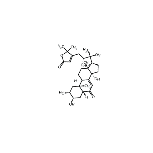 CC1(C)OC(=O)C=C1C[C@@H](O)[C@](C)(O)[C@H]1CC[C@@]2(O)C3=CC(=O)[C@@H]4C[C@@H](O)[C@@H](O)C[C@]4(C)[C@H]3CC[C@]12C